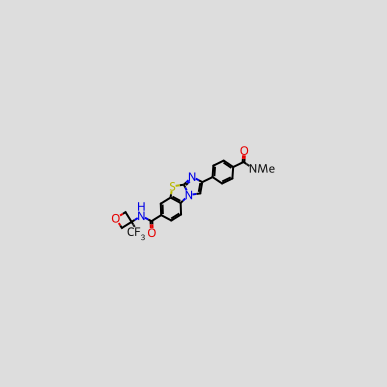 CNC(=O)c1ccc(-c2cn3c(n2)sc2cc(C(=O)NC4(C(F)(F)F)COC4)ccc23)cc1